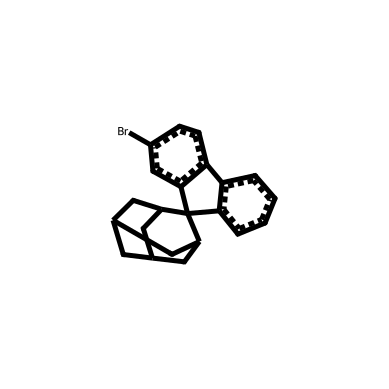 Brc1ccc2c(c1)C1(c3ccccc3-2)C2CC3CC(C2)CC1C3